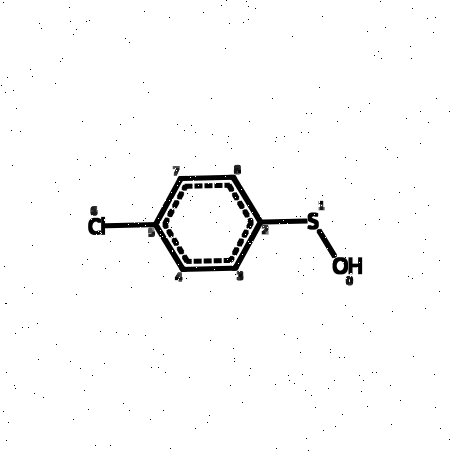 OSc1ccc(Cl)cc1